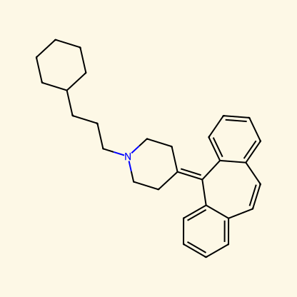 C1=Cc2ccccc2C(=C2CCN(CCCC3CCCCC3)CC2)c2ccccc21